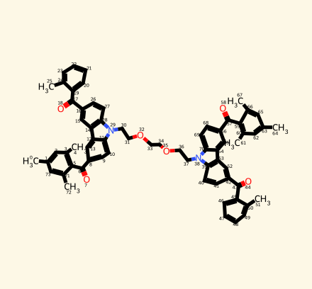 Cc1cc(C)c(C(=O)c2ccc3c(c2)c2cc(C(=O)c4ccccc4C)ccc2n3CCOCCOCCn2c3ccc(C(=O)c4ccccc4C)cc3c3cc(C(=O)c4c(C)cc(C)cc4C)ccc32)c(C)c1